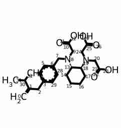 C=C(Cc1ccc(CN(CC(=O)O)[C@H]2CCCC[C@@H]2N(CC(=O)O)CC(=O)O)cc1)C(C)C